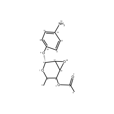 CC(=O)OC1C(C)O[C@H](Oc2ccc(N)cc2)C2OC12